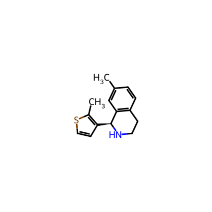 Cc1ccc2c(c1)[C@H](c1ccsc1C)NCC2